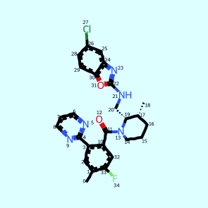 Cc1cc(-c2ncccn2)c(C(=O)N2CCC[C@@H](C)[C@H]2CNc2nc3cc(Cl)ccc3o2)cc1F